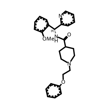 COc1ccccc1[C@@H](NC(=O)C1CCN(CCOc2ccccc2)CC1)c1ccccn1